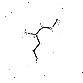 CCSS[C@@H](CCCl)C(C)C